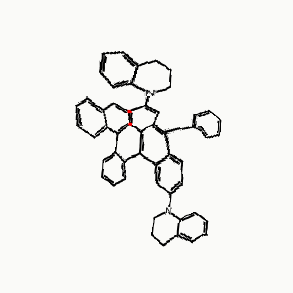 c1ccc(-c2c3cc(N4CCCc5ccccc54)ccc3c(-c3ccccc3-c3cccc4ccccc34)c3cc(N4CCCc5ccccc54)ccc23)cc1